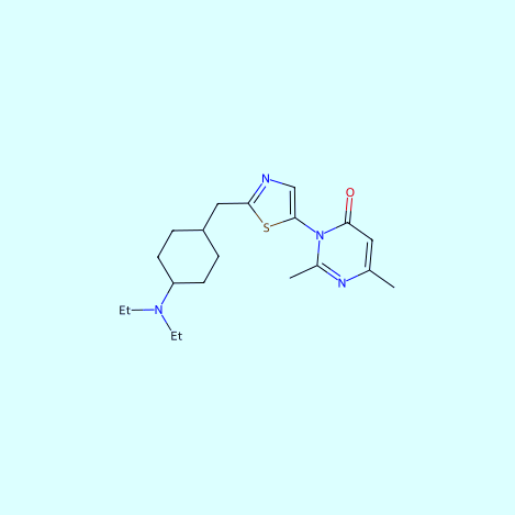 CCN(CC)C1CCC(Cc2ncc(-n3c(C)nc(C)cc3=O)s2)CC1